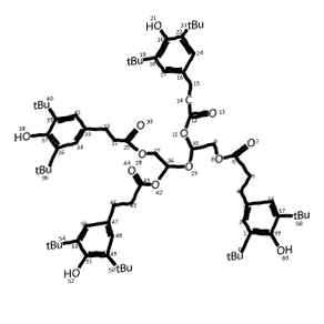 CC(C)(C)c1cc(CCC(=O)OCC(OC(=O)CCc2cc(C(C)(C)C)c(O)c(C(C)(C)C)c2)OC(COC(=O)CCc2cc(C(C)(C)C)c(O)c(C(C)(C)C)c2)OC(=O)CCc2cc(C(C)(C)C)c(O)c(C(C)(C)C)c2)cc(C(C)(C)C)c1O